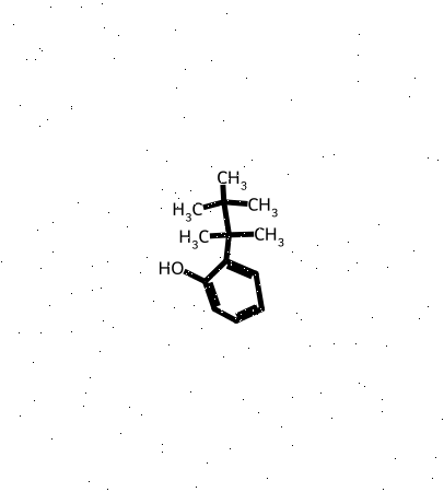 CC(C)(C)C(C)(C)c1ccccc1O